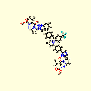 COC(=O)N[C@H](C(=O)N1CCC[C@H]1c1nc(-c2ccc([C@@H]3CC[C@H](c4ccc(-c5cccc6c5CN([C@H]5CCCN5C(=O)[C@@H](NC(=O)O)C(C)C)N6)cc4)N3c3ccc(C(F)(F)F)cc3)cc2)c[nH]1)C(C)C